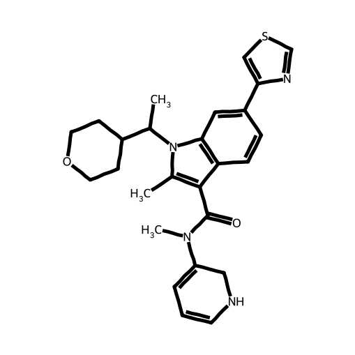 Cc1c(C(=O)N(C)C2=CC=CNC2)c2ccc(-c3cscn3)cc2n1C(C)C1CCOCC1